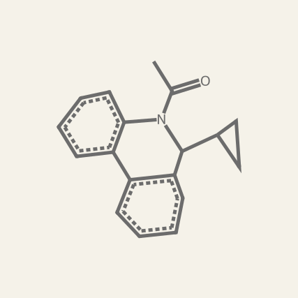 CC(=O)N1c2ccccc2-c2ccccc2C1C1CC1